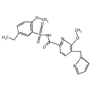 CCc1ccc(OC)c(S(=O)(=O)NC(=O)c2ccc(Cn3cccn3)c(OC)n2)c1